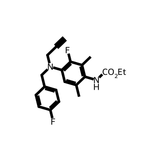 C#CCN(Cc1ccc(F)cc1)c1cc(C)c(NC(=O)OCC)c(C)c1F